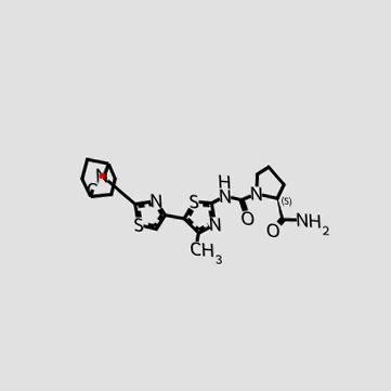 Cc1nc(NC(=O)N2CCC[C@H]2C(N)=O)sc1-c1csc(N2CC3CCC(CC3)C2)n1